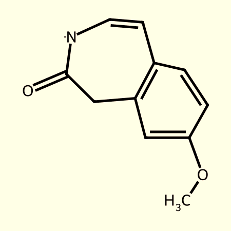 COc1ccc2c(c1)CC(=O)[N]C=C2